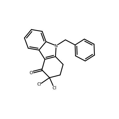 O=C1c2c(n(Cc3ccccc3)c3ccccc23)CCC1(Cl)Cl